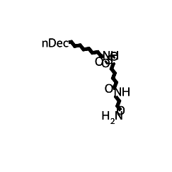 CCCCCCCCCCCCCCCCCC(=O)NS(=O)(=O)CCCCCC(=O)NCCCON